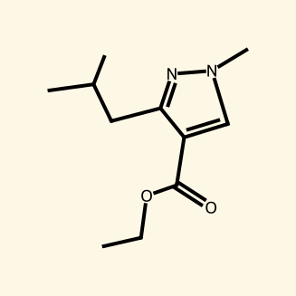 CCOC(=O)c1cn(C)nc1CC(C)C